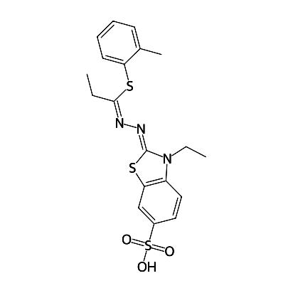 CC/C(=N/N=c1\sc2cc(S(=O)(=O)O)ccc2n1CC)Sc1ccccc1C